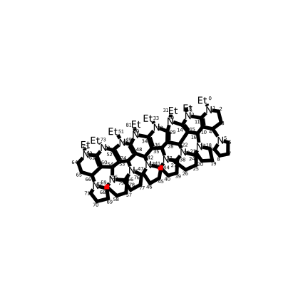 CCN1CCC(N2CCCC2)C2=C1N(CC)C1=C(C2N2CCCC2)C(N2CCCC2)C2=C(N1CC)N(CC)C1=C(C2N2CCCC2)C(N2CCCC2)C2=C(N(CC)C3=C(C(N4CCCC4)C4=C(N(CC)CCC4N4CCCC4)N3CC)C2N2CCCC2)N1CC